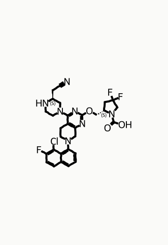 N#CC[C@H]1CN(c2nc(OC[C@@H]3CC(F)(F)CN3C(=O)O)nc3c2CCN(c2cccc4ccc(F)c(Cl)c24)C3)CCN1